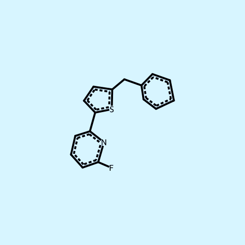 Fc1cccc(-c2ccc(Cc3ccccc3)s2)n1